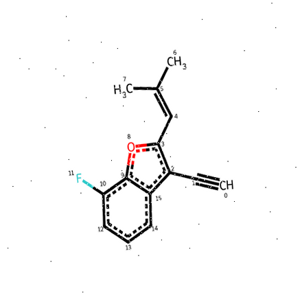 C#Cc1c(C=C(C)C)oc2c(F)cccc12